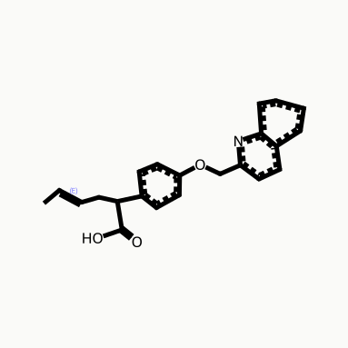 C/C=C/CC(C(=O)O)c1ccc(OCc2ccc3ccccc3n2)cc1